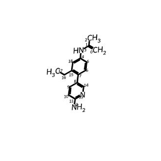 C=C(C)Nc1ccc(-c2ccc(N)nc2)c(CC)c1